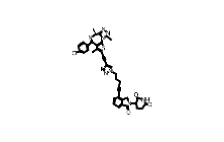 Cc1c(C#Cc2cn(CCCC#Cc3cccc4c3CN(C3CCC(=O)NC3=O)C4=O)nn2)sc2c1C(c1ccc(Cl)cc1)=N[C@@H](C)c1nnc(C)n1-2